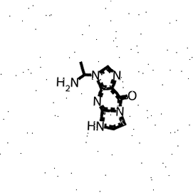 CC(N)n1cnc2c(=O)n3cc[nH]c3nc21